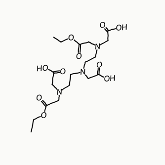 CCOC(=O)CN(CCN(CCN(CC(=O)O)CC(=O)OCC)CC(=O)O)CC(=O)O